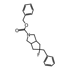 O=C(OCc1ccccc1)N1CC2CC(F)(Cc3ccccc3)CC2C1